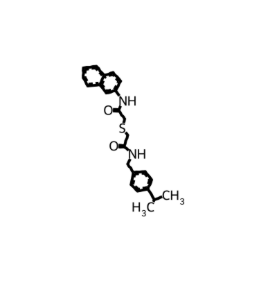 CC(C)c1ccc(CNC(=O)CSCC(=O)Nc2ccc3ccccc3c2)cc1